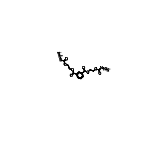 [N-]=[N+]=NC(=O)OCCOC(=O)c1cccc(C(=O)OCCOC(=O)N=[N+]=[N-])c1